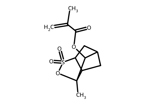 C=C(C)C(=O)OC1C2CC3C(C2)S(=O)(=O)OC31C